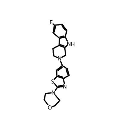 Fc1ccc2[nH]c3c(c2c1)CCN(c1ccc2nc(N4CCOCC4)sc2c1)C3